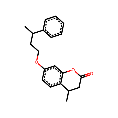 CC(CCOc1ccc2c(c1)OC(=O)CC2C)c1ccccc1